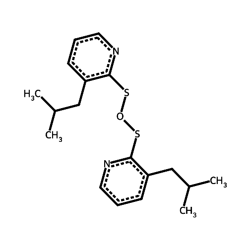 CC(C)Cc1cccnc1SOSc1ncccc1CC(C)C